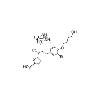 CCc1cc(CCC(CC)c2ccc(C(=O)O)s2)ccc1OCCCCO.CN.CN.CN